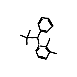 Cc1ccc[n+](C(c2ccccc2)C(C)(C)C)c1C